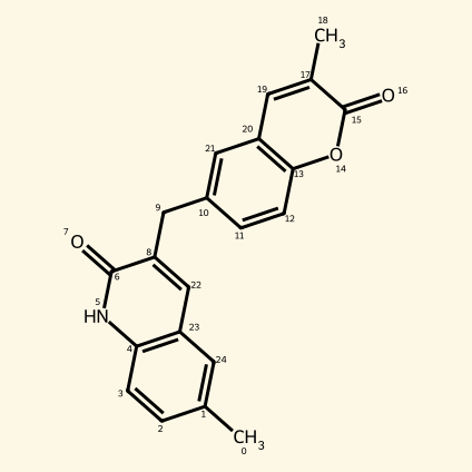 Cc1ccc2[nH]c(=O)c(Cc3ccc4oc(=O)c(C)cc4c3)cc2c1